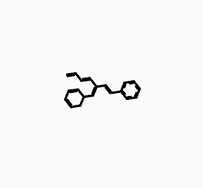 C=CC=CC(C=Cc1ccccc1)=CC1C=CC=CC1